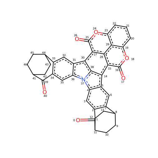 O=C1c2cc3c(cc2C2CCC1CC2)c1c2c(=O)oc4cccc5oc(=O)c(c2c45)c2c4cc5c(cc4n3c12)C(=O)C1CCC5CC1